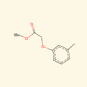 [CH2]c1cccc(OCC(=O)OC(C)(C)C)c1